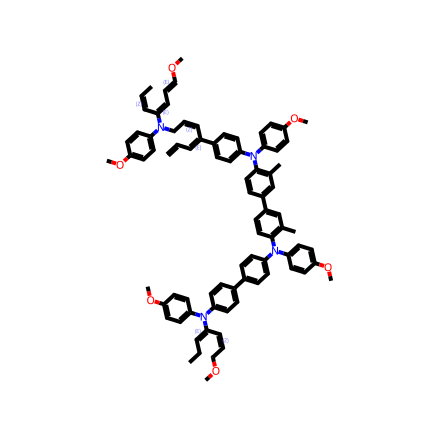 C=C/C=C(\C=C/CN(C(/C=C\C)=C/C=C/OC)c1ccc(OC)cc1)c1ccc(N(c2ccc(OC)cc2)c2ccc(-c3ccc(N(c4ccc(OC)cc4)c4ccc(-c5ccc(N(C(/C=C\COC)=C/CC)c6ccc(OC)cc6)cc5)cc4)c(C)c3)cc2C)cc1